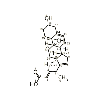 C[C@H](/C=C/C(=O)O)C1=CC[C@H]2[C@@H]3CC=C4C[C@@H](O)CC[C@]4(C)[C@H]3CC[C@]12C